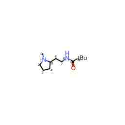 CN1CCCC1CCNC(=O)C(C)(C)C